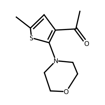 CC(=O)c1cc(C)sc1N1CCOCC1